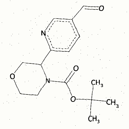 CC(C)(C)OC(=O)N1CCOCC1c1ccc(C=O)cn1